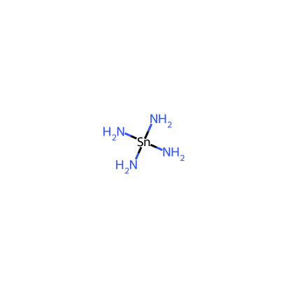 [NH2][Sn]([NH2])([NH2])[NH2]